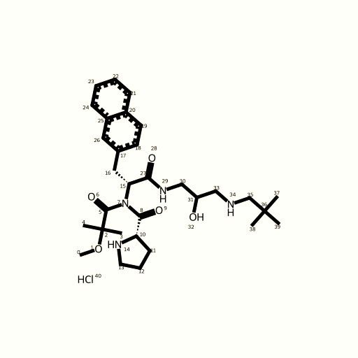 COC(C)(C)C(=O)N(C(=O)[C@@H]1CCCN1)[C@H](Cc1ccc2ccccc2c1)C(=O)NCC(O)CNCC(C)(C)C.Cl